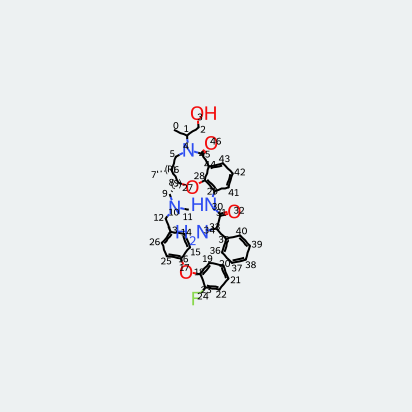 CC(CO)N1C[C@@H](C)[C@@H](CN(C)Cc2ccc(Oc3ccccc3F)cc2)Oc2c(NC(=O)C(N)c3ccccc3)cccc2C1=O